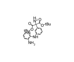 CC(C)(C)OC(=O)C(N)(C(=O)OC(C)(C)C)c1cccc(Nc2ncccc2N)c1